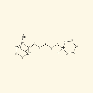 C[N+]1(CCCCCC2C(O)C3CCN2CC3)CCCCC1